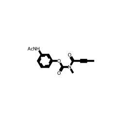 CC#CC(=O)N(C)C(=O)Oc1cccc(NC(C)=O)c1